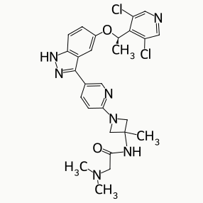 C[C@@H](Oc1ccc2[nH]nc(-c3ccc(N4CC(C)(NC(=O)CN(C)C)C4)nc3)c2c1)c1c(Cl)cncc1Cl